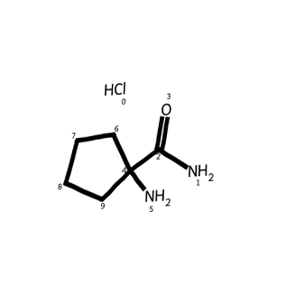 Cl.NC(=O)C1(N)CCCC1